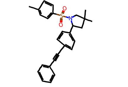 Cc1ccc(S(=O)(=O)N2CC(C)(C)CC2c2ccc(C#Cc3ccccc3)cc2)cc1